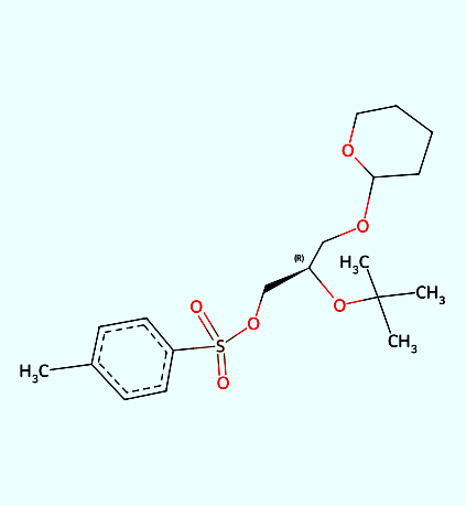 Cc1ccc(S(=O)(=O)OC[C@@H](COC2CCCCO2)OC(C)(C)C)cc1